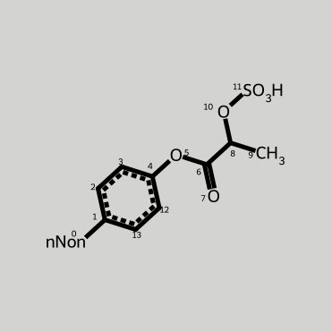 CCCCCCCCCc1ccc(OC(=O)C(C)OS(=O)(=O)O)cc1